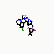 CC1(C)C2C(=O)N(Cc3cc4c(-c5cc(Cl)cc6c5N(C5CNC5)CCC6)ncnn4c3)C(=O)C21